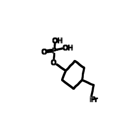 CC(C)CC1CCC(OP(=O)(O)O)CC1